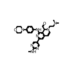 CNc1ncc(-c2cc3c(c(Nc4ccc(N5CCOCC5)cc4)n2)C(C=O)N(CCN(C)C)C=C3)cn1